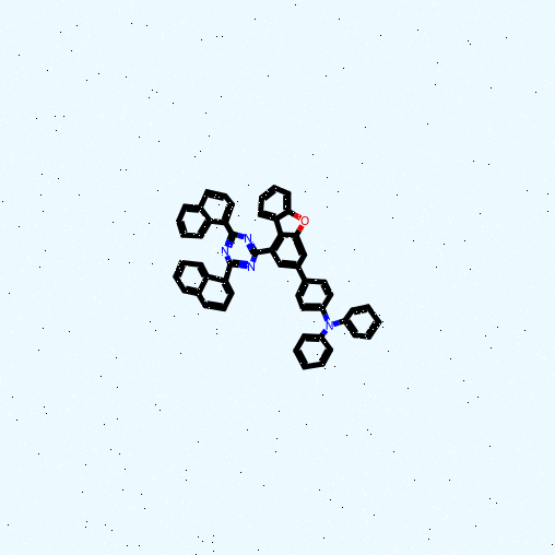 c1ccc(N(c2ccccc2)c2ccc(-c3cc(-c4nc(-c5cccc6ccccc56)nc(-c5cccc6ccccc56)n4)c4c(c3)oc3ccccc34)cc2)cc1